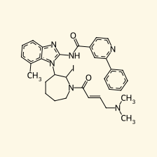 Cc1cccc2nc(NC(=O)c3ccnc(-c4ccccc4)c3)n(C3CCCCN(C(=O)C=CCN(C)C)C3I)c12